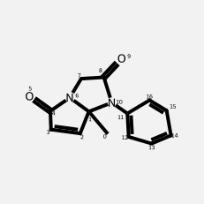 CC12C=CC(=O)N1CC(=O)N2c1ccccc1